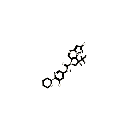 C[C@@]1(C(F)(F)F)CN(C(=O)Nc2cnc([C@@H]3CCCCO3)c(Cl)c2)c2cnc3cc(Cl)nn3c21